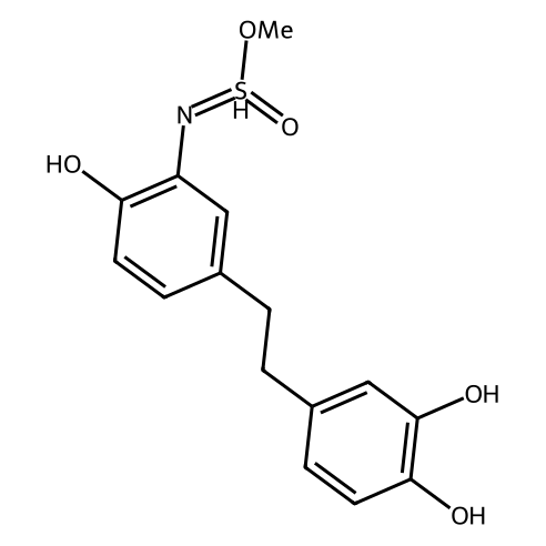 CO[SH](=O)=Nc1cc(CCc2ccc(O)c(O)c2)ccc1O